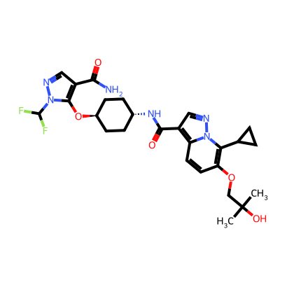 CC(C)(O)COc1ccc2c(C(=O)N[C@H]3CC[C@H](Oc4c(C(N)=O)cnn4C(F)F)CC3)cnn2c1C1CC1